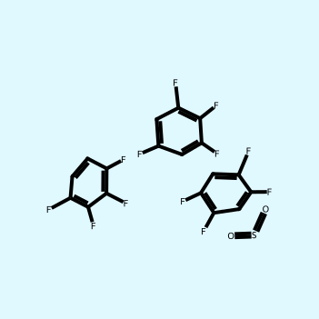 Fc1cc(F)c(F)c(F)c1.Fc1cc(F)c(F)cc1F.Fc1ccc(F)c(F)c1F.O=S=O